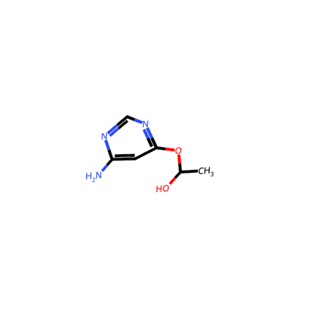 CC(O)Oc1cc(N)ncn1